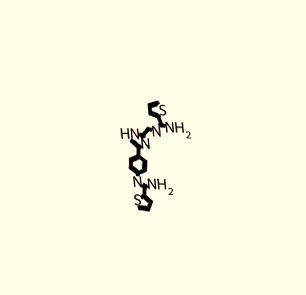 N/C(=N\c1ccc(-c2c[nH]c(C/N=C(/N)c3cccs3)n2)cc1)c1cccs1